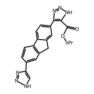 CCCOC(=O)c1[nH]nnc1-c1ccc2c(c1)Cc1cc(-c3c[nH]nn3)ccc1-2